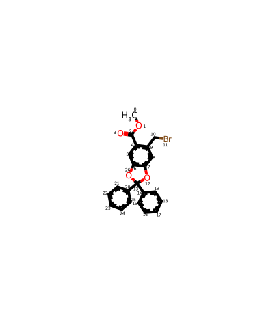 COC(=O)c1cc2c(cc1CBr)OC(c1ccccc1)(c1ccccc1)O2